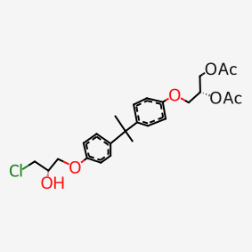 CC(=O)OC[C@@H](COc1ccc(C(C)(C)c2ccc(OC[C@H](O)CCl)cc2)cc1)OC(C)=O